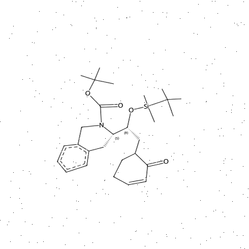 CC(C)(C)OC(=O)N1Cc2ccccc2C[C@H]1[C@@H](CC1CCC=CC1=O)O[Si](C)(C)C(C)(C)C